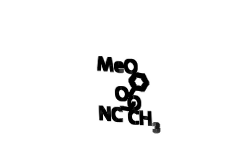 COc1cccc(C(=O)OC(C)CC#N)c1